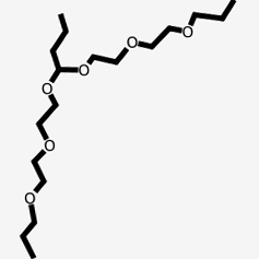 CCCOCCOCCOC(CCC)OCCOCCOCCC